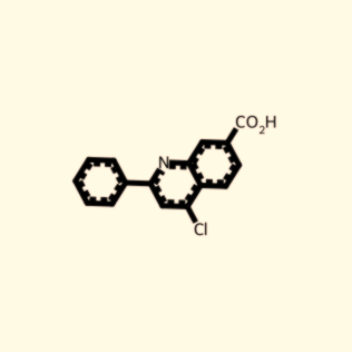 O=C(O)c1ccc2c(Cl)cc(-c3ccccc3)nc2c1